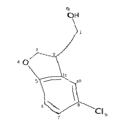 OCC1COc2ccc(Cl)cc21